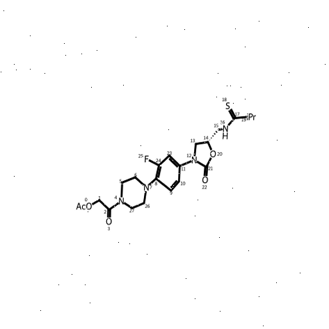 CC(=O)OCC(=O)N1CCN(c2ccc(N3C[C@H](CNC(=S)C(C)C)OC3=O)cc2F)CC1